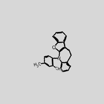 Cc1ccc(N2c3ccccc3CCc3c2oc2ccccc32)c(C)c1